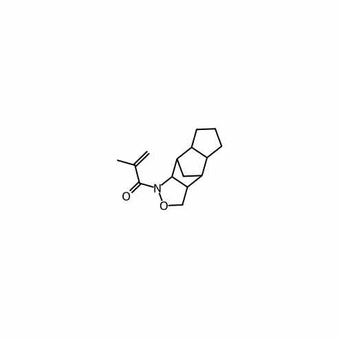 C=C(C)C(=O)N1OCC2C3CC(C4CCCC34)C21